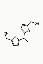 CC(c1ccc(CO)o1)c1ccc(CO)o1